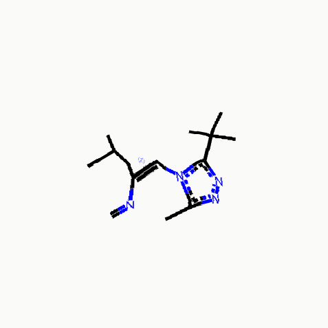 C=N/C(=C\n1c(C)nnc1C(C)(C)C)C(C)C